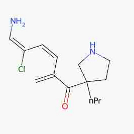 C=C(/C=C\C(Cl)=C/N)C(=O)C1(CCC)CCNC1